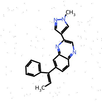 C/C=C(\c1ccccc1)c1ccc2ncc(-c3cnn(C)c3)nc2c1